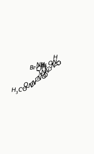 CCOC(=O)CN1CCN(C2CCN(C(=O)[C@@H](Cc3cc(Br)c(N)c(Br)c3)NC(=O)N3CCC(N4Cc5ccccc5NC4=O)CC3)CC2)CC1